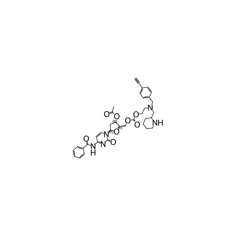 C#Cc1ccc(CN(CCOC(=O)OC[C@H]2O[C@@H](n3ccc(NC(=O)c4ccccc4)nc3=O)C[C@@H]2OC(C)=O)CC2CCCCN2)cc1